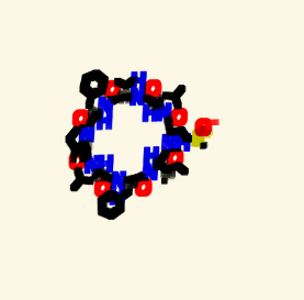 CC[C@H](C)[C@@H]1NC(=O)[C@H](Cc2ccccc2)NC(=O)[C@H](CC(C)C)NC(=O)[C@@H]2CCCN2C(=O)[C@H](Cc2ccccc2)NC(=O)[C@H](C(C)C)NC(=O)[C@H](CC(C)C)NC(=O)C(CC[S+](C)[O-])NC1=O